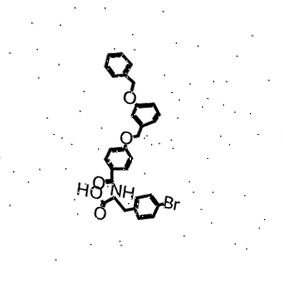 O=C(NC(Cc1ccc(Br)cc1)C(=O)O)c1ccc(OCc2cccc(OCc3ccccc3)c2)cc1